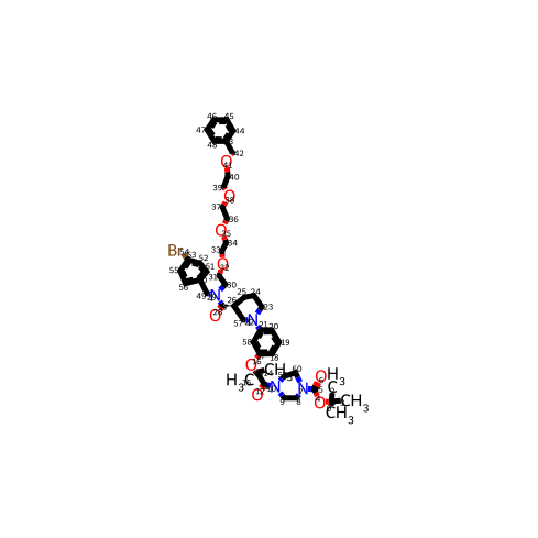 CC(C)(C)OC(=O)N1CCN(C(=O)C(C)(C)Oc2cccc(N3CCC[C@@H](C(=O)N(CCOCCOCCOCCOCc4ccccc4)Cc4ccc(Br)cc4)C3)c2)CC1